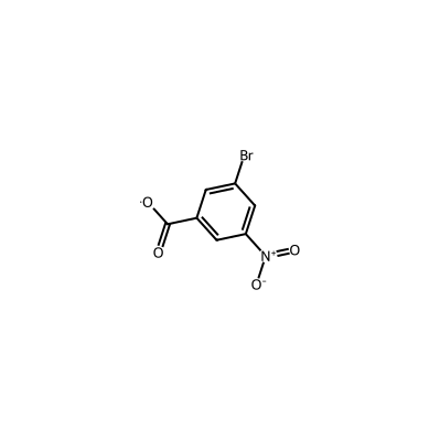 [O]C(=O)c1cc(Br)cc([N+](=O)[O-])c1